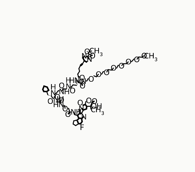 CC[C@@]1(O)C(=O)OCc2c1cc1n(c2=O)Cc2c-1nc1cc(F)c3c(c1c2CNC(=O)COCNC(=O)CNC(=O)[C@H](Cc1ccccc1)NC(=O)CNC(=O)CNC(=O)CC[C@H](NC(=O)CCCC#Cc1cnc(S(C)(=O)=O)nc1)C(=O)NCCOCCOCCOCCOCCOCCOCCOCCOC)CCC3